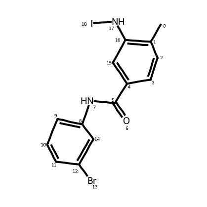 Cc1ccc(C(=O)Nc2cccc(Br)c2)cc1NI